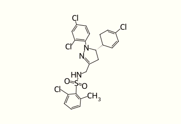 Cc1cccc(Cl)c1S(=O)(=O)NCC1=NN(c2ccc(Cl)cc2Cl)[C@H](C2C=CC(Cl)=CC2)C1